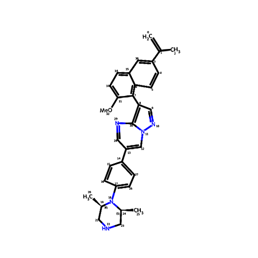 C=C(C)c1ccc2c(-c3cnn4cc(-c5ccc(N6[C@H](C)CNC[C@@H]6C)cc5)cnc34)c(OC)ccc2c1